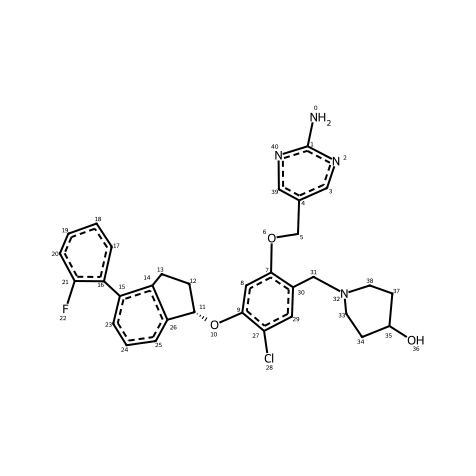 Nc1ncc(COc2cc(O[C@H]3CCc4c(-c5ccccc5F)cccc43)c(Cl)cc2CN2CCC(O)CC2)cn1